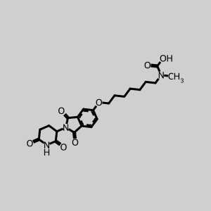 CN(CCCCCCCOc1ccc2c(c1)C(=O)N(C1CCC(=O)NC1=O)C2=O)C(=O)O